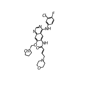 O=C(C=CCN1CCOCC1)Nc1cc2c(Nc3ccc(F)c(Cl)c3)ncnc2cc1OC[C@H]1CCCO1